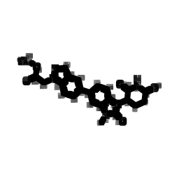 Cn1c(=O)n(C2CCC(=O)NC2=O)c2ccc(-c3ccc4c(cnn4CC(=O)OC(C)(C)C)c3)cc21